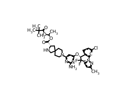 Cc1ccn(-c2cc(Cl)ccc2[C@@H](Oc2cc(N3CCC4(CC3)CN[C@H](C(=O)OC(C)OC(=O)C(C)(C)C)C4)nc(N)n2)C(F)(F)F)n1